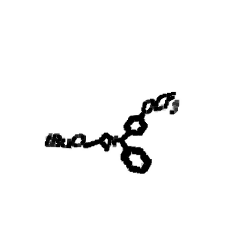 CC(C)(C)OCC1CN(C(c2ccccc2)c2ccc(OC(F)(F)F)cc2)C1